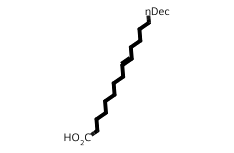 CCCCCCCCCCCCCCC=CCCCCCCCC(=O)O